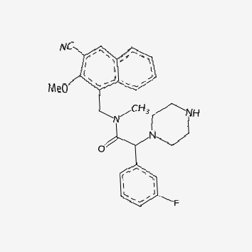 COc1c(C#N)cc2ccccc2c1CN(C)C(=O)C(c1cccc(F)c1)N1CCNCC1